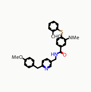 CNc1cc(C(=O)NCc2ccc(Cc3ccc(OC)cc3)nc2)ccc1Sc1ccccc1C=O